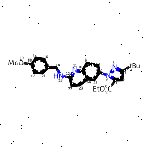 CCOC(=O)c1cc(C(C)(C)C)nn1-c1ccc2nc(NCc3ccc(OC)cc3)ccc2c1